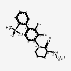 CP(C)(=O)c1ccccc1-c1ccc(N2CCCC(NC(=O)O)C2=O)c(F)c1F